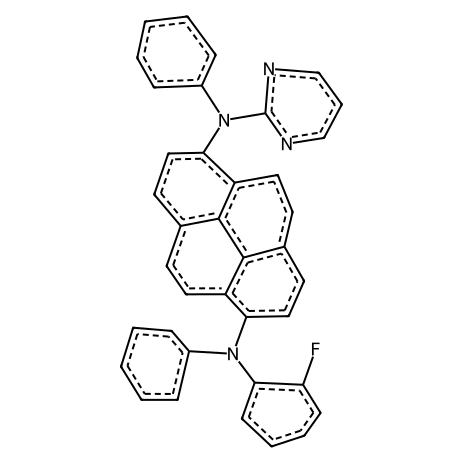 Fc1ccccc1N(c1ccccc1)c1ccc2ccc3c(N(c4ccccc4)c4ncccn4)ccc4ccc1c2c43